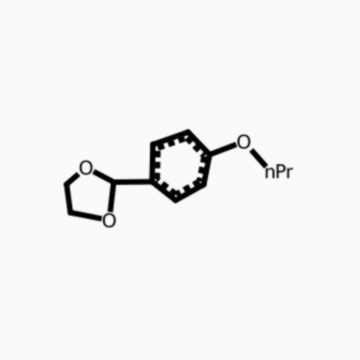 CCCOc1ccc(C2OCCO2)cc1